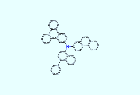 c1ccc(-c2ccc(N(c3ccc4c(ccc5ccccc54)c3)c3ccc4c5ccccc5c5ccccc5c4c3)c3ccccc23)cc1